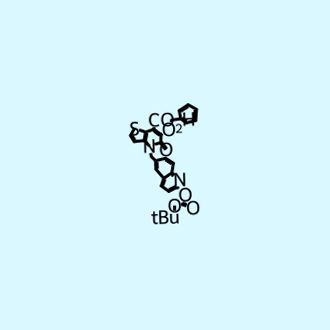 CC(C)(C)OC(=O)Oc1ccc2cc(Cn3c(=O)c(OCc4ccccc4)c(C(=O)O)c4sccc43)ccc2n1